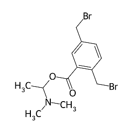 CC(OC(=O)c1cc(CBr)ccc1CBr)N(C)C